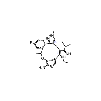 CCN/C1=C(\C(=N)C(C)C)C/C(=C/NC)C(=N)c2ccc(F)cc2C(C)Oc2cc1cnc2N